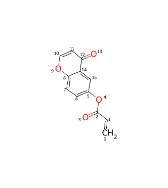 C=CC(=O)Oc1ccc2occc(=O)c2c1